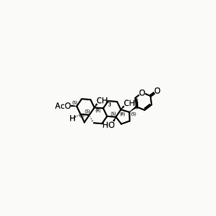 CC(=O)O[C@H]1CC[C@]2(C)C3CC[C@]4(C)[C@@H](c5ccc(=O)oc5)CC[C@]4(O)C3CC[C@@]23C[C@@H]13